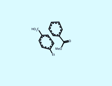 CCc1ccc(C(=O)O)cc1.COC(=O)c1ccccc1